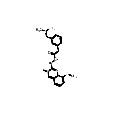 COC1=CC=CC2=CN(Cl)C(NNC(=O)Cc3cccc(CN(C)C)c3)=NC21